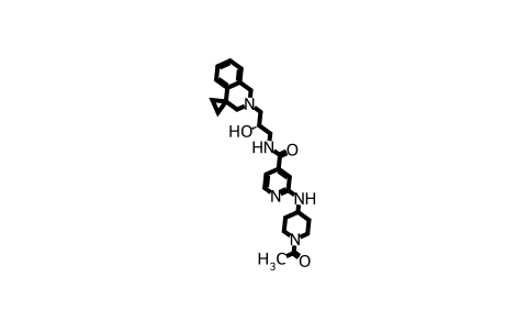 CC(=O)N1CCC(Nc2cc(C(=O)NC[C@H](O)CN3Cc4ccccc4C4(CC4)C3)ccn2)CC1